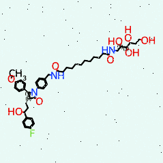 COc1ccc([C@@H]2[C@@H](CCC(O)c3ccc(F)cc3)C(=O)N2c2ccc(CNC(=O)CCCCCCCCCCC(=O)NC[C@H](O)[C@@H](O)C(O)CCO)cc2)cc1